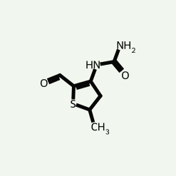 CC1CC(NC(N)=O)=C(C=O)S1